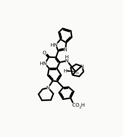 O=C(O)c1ccc(-c2cc3c(N[C@@H]4CN5CCC4CC5)c(-c4nc5ccccc5[nH]4)c(=O)[nH]c3cc2N2CCCCC2)cc1